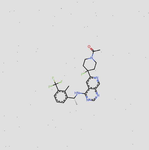 CC(=O)N1CCC(F)(c2cc3c(N[C@H](C)c4cccc(C(F)(F)F)c4C)ncnc3cn2)CC1